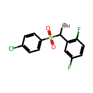 [CH2]CC(C)C(c1cc(F)ccc1F)S(=O)(=O)c1ccc(Cl)cc1